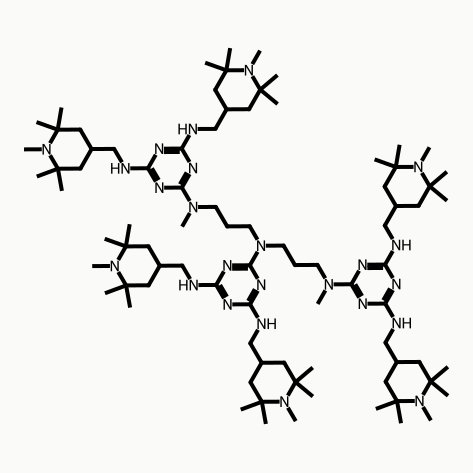 CN(CCCN(CCCN(C)c1nc(NCC2CC(C)(C)N(C)C(C)(C)C2)nc(NCC2CC(C)(C)N(C)C(C)(C)C2)n1)c1nc(NCC2CC(C)(C)N(C)C(C)(C)C2)nc(NCC2CC(C)(C)N(C)C(C)(C)C2)n1)c1nc(NCC2CC(C)(C)N(C)C(C)(C)C2)nc(NCC2CC(C)(C)N(C)C(C)(C)C2)n1